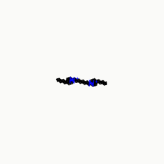 CCCCCc1cc[n+](CCCCCCCC[n+]2ccc(CCCCC)cc2)cc1